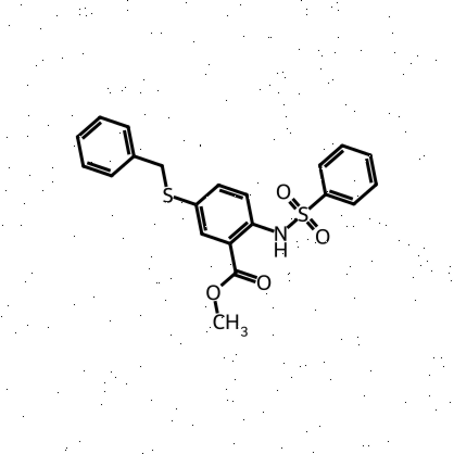 COC(=O)c1cc(SCc2ccccc2)ccc1NS(=O)(=O)c1ccccc1